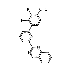 O=Cc1ccc(-c2cccc(-c3ncc4ccccc4n3)n2)c(F)c1F